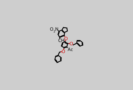 CC(=O)c1c(OCc2ccccc2)ccc(Oc2c(C)cc([N+](=O)[O-])c3c2CCC3)c1OCc1ccccc1